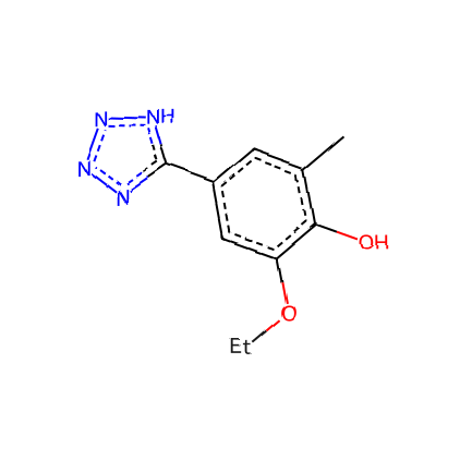 CCOc1cc(-c2nnn[nH]2)cc(C)c1O